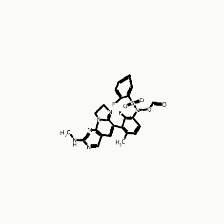 CNc1ncc2c(n1)N1CCN=C1C(c1c(C)ccc(N(OC=O)S(=O)(=O)c3ccccc3F)c1F)=C2